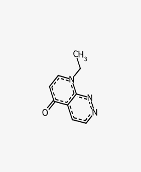 CCn1ccc(=O)c2ccnnc21